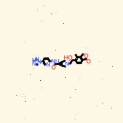 Cc1c(C(O)CN2CC3C(C2)C3C(=O)Nc2ccc(-n3cnnn3)cn2)ccc2c1COC2=O